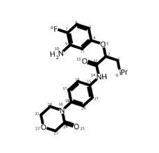 CC(C)CC(Oc1ccc(F)c(N)c1)C(=O)Nc1ccc(N2CCOCC2=O)cc1